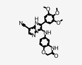 COc1cc(-c2[nH]c3c(C#N)cnn3c2Nc2ccc3c(c2)NC(=O)CO3)cc(OC)c1OC